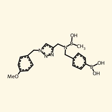 COc1ccc(Cn2cc(CN(Cc3ccc(B(O)O)cc3)B(C)O)nn2)cc1